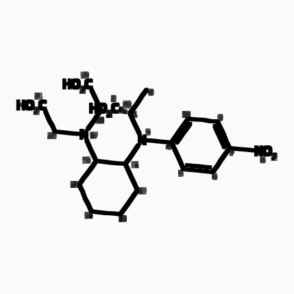 C[C@@H](C(=O)O)N(c1ccc([N+](=O)[O-])cc1)C1CCCCC1N(CC(=O)O)CC(=O)O